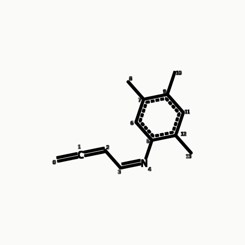 C=C=C/C=N\c1cc(C)c(C)cc1C